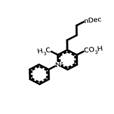 CCCCCCCCCCCCCc1c(C(=O)O)cc[n+](-c2ccccc2)c1C